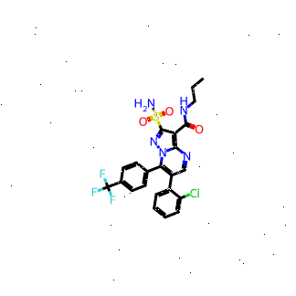 CCCNC(=O)c1c(S(N)(=O)=O)nn2c(-c3ccc(C(F)(F)F)cc3)c(-c3ccccc3Cl)cnc12